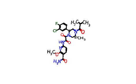 COc1nc(NC(=O)C(=O)N2C[C@@H](C)N(C(=O)C(C)C)C[C@@H]2c2ccc(F)c(Cl)c2)ccc1C(N)=O